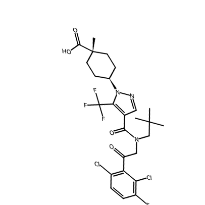 CC(C)(C)CN(CC(=O)c1c(Cl)ccc(F)c1Cl)C(=O)c1cnn([C@H]2CC[C@](C)(C(=O)O)CC2)c1C(F)(F)F